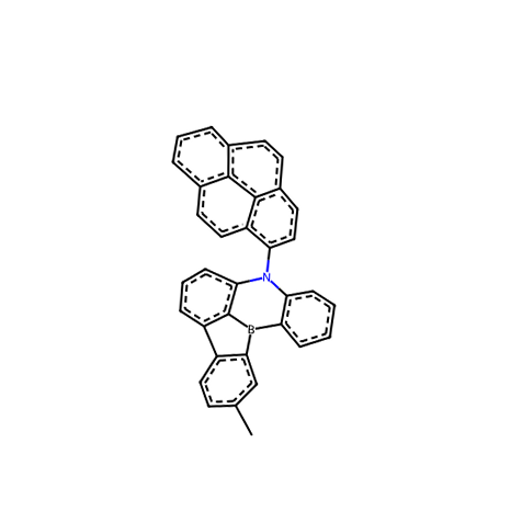 Cc1ccc2c(c1)B1c3ccccc3N(c3ccc4ccc5cccc6ccc3c4c56)c3cccc-2c31